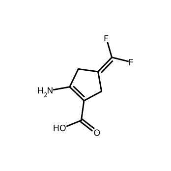 NC1=C(C(=O)O)CC(=C(F)F)C1